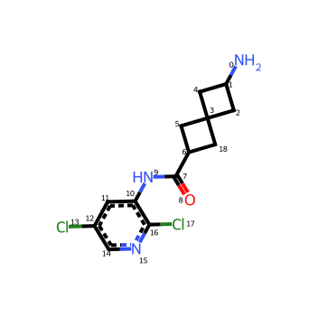 NC1CC2(C1)CC(C(=O)Nc1cc(Cl)cnc1Cl)C2